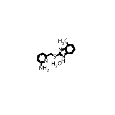 Cc1cccc2[nH]c(SCc3cccc(N)n3)nc12.O